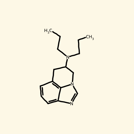 CCCN(CCC)C1Cc2cccc3ncn(c23)C1